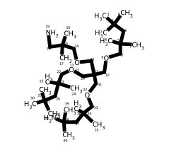 CC(C)(C)CC(C)(C)COCC(COCC(C)(C)CN)(COCC(C)(C)CC(C)(C)C)COCC(C)(C)CC(C)(C)N